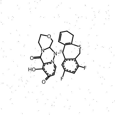 O=C1c2c(O)c(=O)ccn2N([C@@H]2C3=C(CCC=C3)SCc3c(F)cc(F)cc32)C2COCCN12